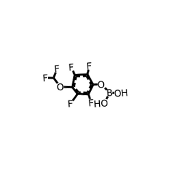 OB(O)Oc1c(F)c(F)c(OC(F)F)c(F)c1F